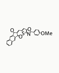 COc1ccc(-c2nc3sc(C=C4C(=O)c5cc6ccccc6cc5C4=O)cc3o2)cc1